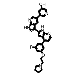 Oc1cncc(-c2cnc3[nH]nc(-c4cc5c(-c6cc(F)cc(OCCN7CCCC7)c6)ccnc5[nH]4)c3c2)c1